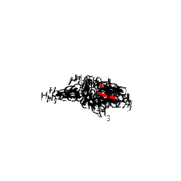 COc1c2c(c(O)c3c4c(c(C)cc13)C1OC3(C(OC)OC)OC1[C@@](OC1CC(OC(C)=O)C5(OC(=O)O[C@H]5C)C(C)O1)(O4)[C@@]31CO1)C(=O)C(O[Si](C)(C)C(C)(C)C)C[C@@H]2OC1CC(C)(O)C(OC(C)=O)C(C)O1